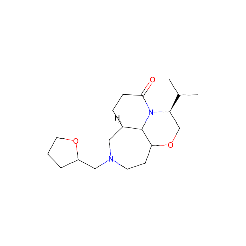 CC(C)[C@H]1COC2CCN(CC3CCCO3)C[C@H]3CCC(=O)N1C23